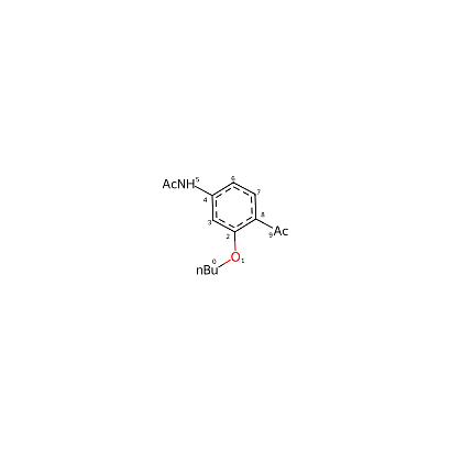 CCCCOc1cc(NC(C)=O)ccc1C(C)=O